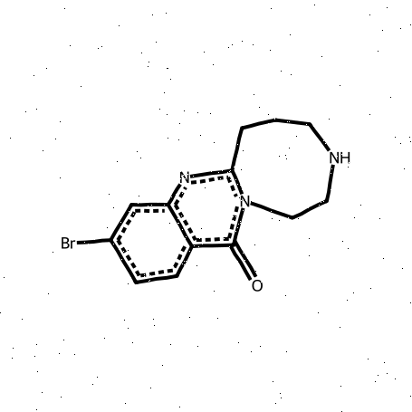 O=c1c2ccc(Br)cc2nc2n1CCNCCC2